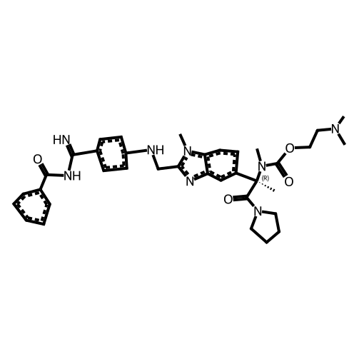 CN(C)CCOC(=O)N(C)[C@@](C)(C(=O)N1CCCC1)c1ccc2c(c1)nc(CNc1ccc(C(=N)NC(=O)c3ccccc3)cc1)n2C